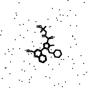 Cc1c(C(=O)NCC(C)(C)O)cc(-c2cc(C(C)(C)C)nc3ccccc23)n1CC1CCCCC1